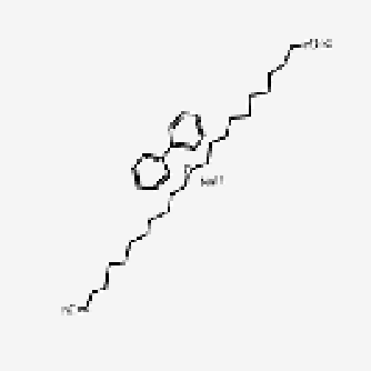 CCCCCCCCCCCCCCCCCCCCOCCCCCCCCCCCCCCCCCCCC.[NaH].c1ccc(-c2ccccc2)cc1